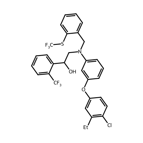 CCc1cc(Oc2cccc(N(Cc3ccccc3SC(F)(F)F)CC(O)c3ccccc3C(F)(F)F)c2)ccc1Cl